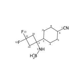 BNC1(C2CCC(C#N)CC2)CC(F)(F)C1